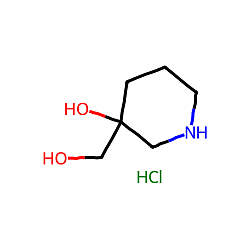 Cl.OCC1(O)CCCNC1